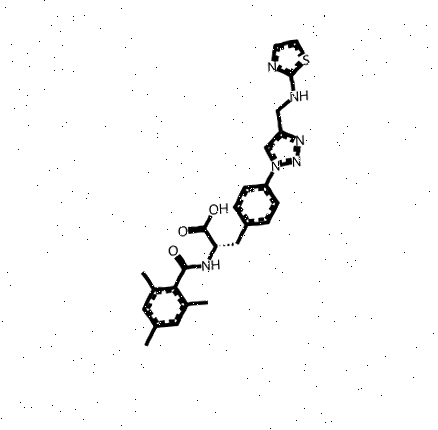 Cc1cc(C)c(C(=O)N[C@@H](Cc2ccc(-n3cc(CNc4nccs4)nn3)cc2)C(=O)O)c(C)c1